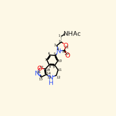 CC(=O)NC[C@H]1CN(c2ccc3c(c2)CCNc2cnoc2-3)C(=O)O1